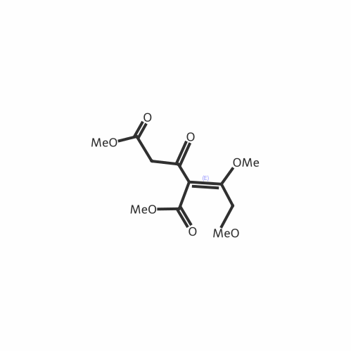 COC/C(OC)=C(/C(=O)CC(=O)OC)C(=O)OC